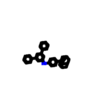 c1ccc(-c2cc(Nc3ccc(C45CC6CC(CC(C6)C4)C5)cc3)cc(-c3ccccc3)c2)cc1